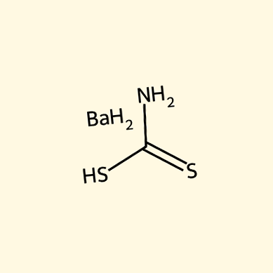 NC(=S)S.[BaH2]